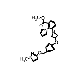 COC(=O)c1cccc(N2CC(Oc3ccc(COc4ccn(C)n4)cc3)C2)c1-n1cccc1